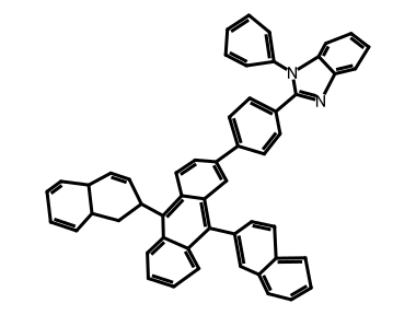 C1=CC2C=CC(c3c4ccccc4c(-c4ccc5ccccc5c4)c4cc(-c5ccc(-c6nc7ccccc7n6-c6ccccc6)cc5)ccc34)CC2C=C1